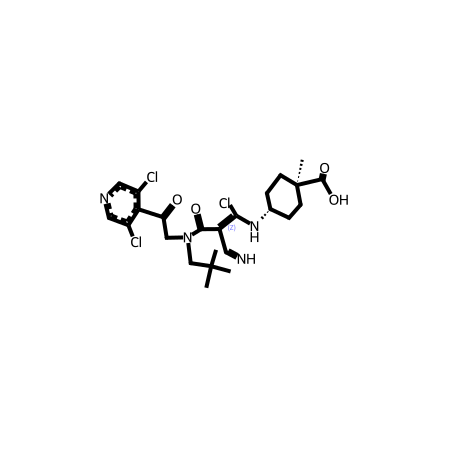 CC(C)(C)CN(CC(=O)c1c(Cl)cncc1Cl)C(=O)/C(C=N)=C(\Cl)N[C@H]1CC[C@](C)(C(=O)O)CC1